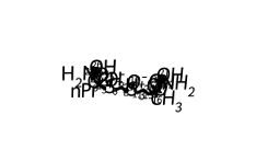 CCCC(C)(C[S+]([O-])CCC[S+]([O-])CCCC(C)(C)OP(N)(=O)O)OP(N)(=O)O